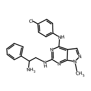 Cn1ncc2c(Nc3ccc(Cl)cc3)nc(NCC(N)c3ccccc3)nc21